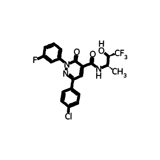 C[C@H](NC(=O)c1cc(-c2ccc(Cl)cc2)nn(-c2cccc(F)c2)c1=O)[C@@H](O)C(F)(F)F